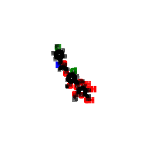 COc1cc(OCc2cnc(-c3ccc(Cl)cc3)o2)c(Cl)cc1C(=O)O[C@H]1[C@@H](OC)O[C@H](CO)[C@@H](O)[C@@H]1O